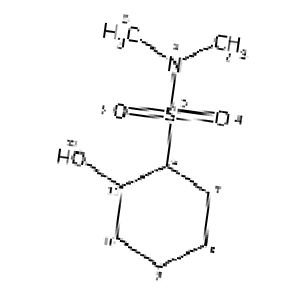 CN(C)S(=O)(=O)C1CCCCC1O